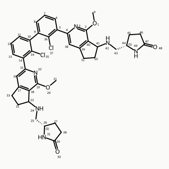 COc1nc(-c2cccc(-c3cccc(-c4cc5c(c(OC)n4)C(NC[C@@H]4CCC(=O)N4)CC5)c3Cl)c2Cl)cc2c1C(NC[C@@H]1CCC(=O)N1)CC2